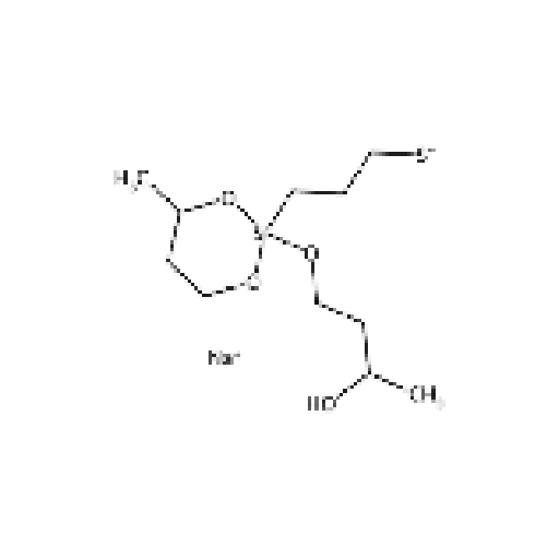 CC(O)CCO[Si]1(CCC[S-])OCCC(C)O1.[Na+]